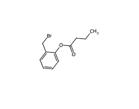 CCCC(=O)Oc1ccccc1CBr